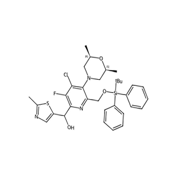 Cc1ncc(C(O)c2nc(CO[Si](c3ccccc3)(c3ccccc3)C(C)(C)C)c(N3C[C@@H](C)O[C@@H](C)C3)c(Cl)c2F)s1